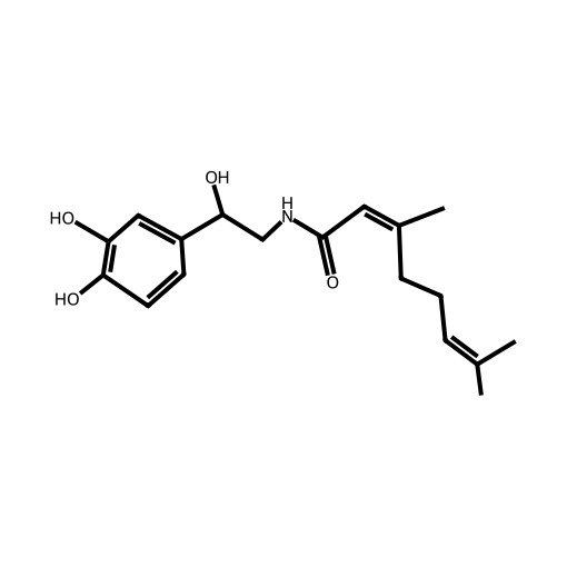 CC(C)=CCCC(C)=CC(=O)NCC(O)c1ccc(O)c(O)c1